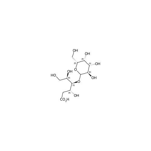 O=C(O)C[C@@H](O)[C@H](OC1O[C@H](CO)[C@H](O)[C@H](O)[C@H]1O)[C@H](O)CO